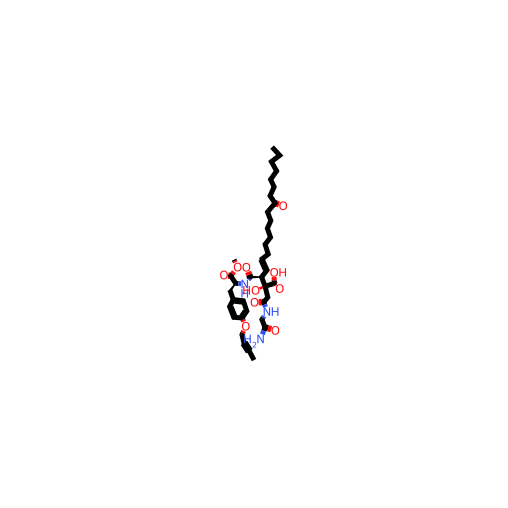 CC#CCOc1ccc(C[C@H](NC(=O)[C@@H](/C=C/CCCCCCC(=O)CCCCCCC)[C@@](O)(CC(=O)NCC(N)=O)C(=O)O)C(=O)OC)cc1